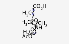 CC(=O)O[C@@H](C)/C=C\C(=O)N[C@@H]1C[C@H](C)[C@H](C/C=C(C)/C=C/C(=O)O)O[C@@H]1C